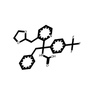 O=C(O)NC(Cc1ccccc1)(c1ccc(C(F)(F)F)cc1)c1ncccc1CC1OCCO1